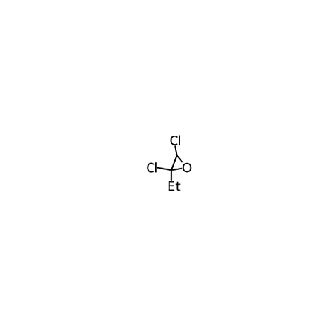 CCC1(Cl)OC1Cl